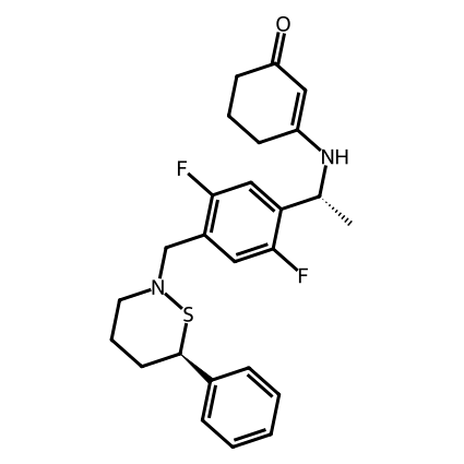 C[C@@H](NC1=CC(=O)CCC1)c1cc(F)c(CN2CCC[C@H](c3ccccc3)S2)cc1F